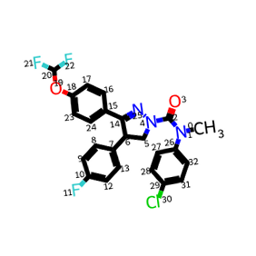 CN(C(=O)N1CC(c2ccc(F)cc2)C(c2ccc(OC(F)F)cc2)=N1)c1ccc(Cl)cc1